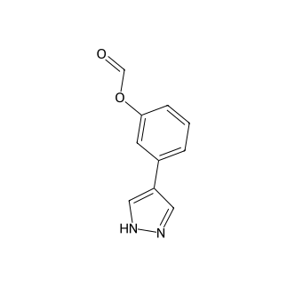 O=COc1cccc(-c2cn[nH]c2)c1